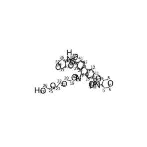 O=S(=O)(NC1CCOCC1)c1ccc2c(c1)C(=NOCCOCCOCCO)c1cc(S(=O)(=O)NC3CCOCC3)ccc1-2